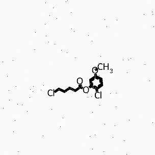 COc1ccc(Cl)c(OC(=O)CCCCCl)c1